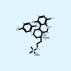 CC(C)(C)[Si](C)(C)OCC[C@@]1(C=O)CCC[C@@]2(Cc3ccc(Cl)cc3)c3c(F)ccc(F)c3OC[C@@H]12